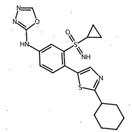 N=S(=O)(c1cc(Nc2nnco2)ccc1-c1cnc(C2CCCCC2)s1)C1CC1